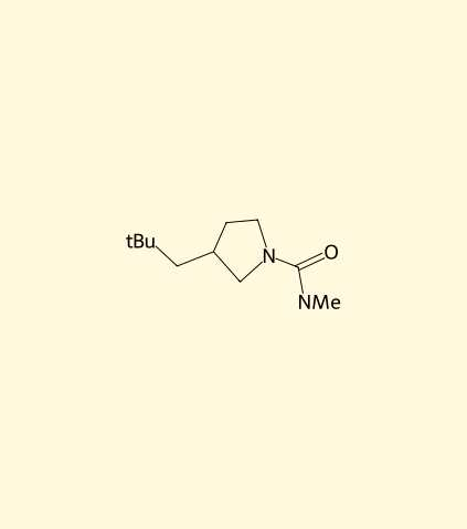 CNC(=O)N1CCC(CC(C)(C)C)C1